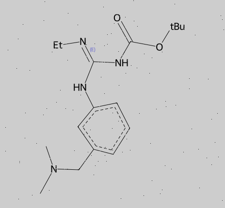 CC/N=C(/NC(=O)OC(C)(C)C)Nc1cccc(CN(C)C)c1